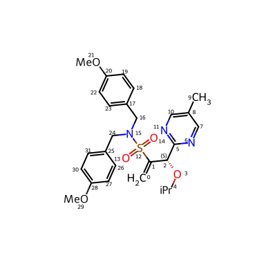 C=C([C@@H](OC(C)C)c1ncc(C)cn1)S(=O)(=O)N(Cc1ccc(OC)cc1)Cc1ccc(OC)cc1